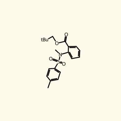 Cc1ccc(S(=O)(=O)N(C)c2ccccc2C(=O)OCC(C)(C)C)cc1